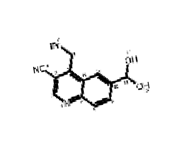 CC(C)Cc1c(C#N)cnc2ccc(C(O)O)cc12